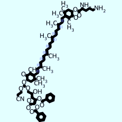 CC1=C(/C=C/C(C)=C/C=C/C(C)=C/C=C/C=C(C)/C=C/C=C(C)/C=C/C2=C(C)C(=O)C(OC(OCCC#N)OC[C@H](O)[C@H]3OC(=O)C(OC(=O)c4ccccc4)=C3OC(=O)c3ccccc3)CC2(C)C)C(C)(C)CC(OC(=O)C(N)CCCN)C1=O